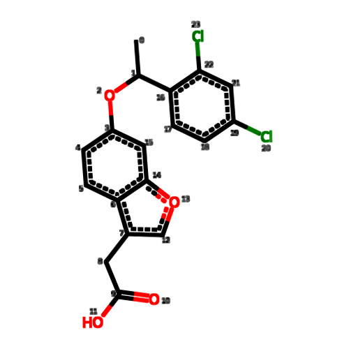 CC(Oc1ccc2c(CC(=O)O)coc2c1)c1ccc(Cl)cc1Cl